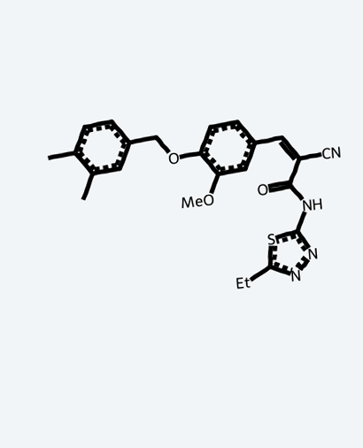 CCc1nnc(NC(=O)C(C#N)=Cc2ccc(OCc3ccc(C)c(C)c3)c(OC)c2)s1